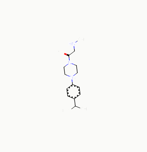 CNCC(=O)N1CCN(c2ccc(C(C)C)cc2)CC1